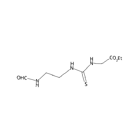 CCOC(=O)CNC(=S)NCCNC=O